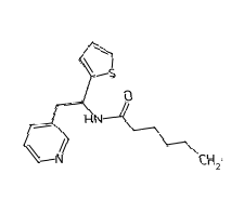 [CH2]CCCCC(=O)NC(Cc1cccnc1)c1cccs1